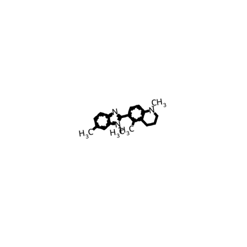 Cc1ccc2nc(-c3ccc4c(c3C)CCCN4C)n(C)c2c1